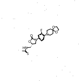 CC(=S)NC[C@H]1CN(c2ccc(N3CCC4(CC3)OCCO4)c(F)c2)C(=O)O1